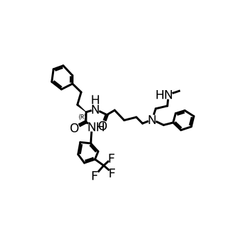 CNCCN(CCCCC(=O)N[C@H](CCc1ccccc1)C(=O)Nc1cccc(C(F)(F)F)c1)Cc1ccccc1